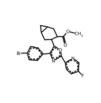 COC(=O)C1CC2CC2CC1c1oc(-c2ccc(F)cn2)nc1-c1ccc(Br)cc1